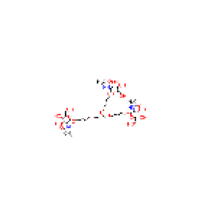 CC(=O)NC1C(O)[C@@H](O)C(CO)O[C@H]1OCCCCCOCC[C@@H](COCCCCCO[C@@H]1OC(CO)[C@H](O)C(O)C1NC(C)=O)OCCCCCO[C@@H]1OC(CO)[C@H](O)C(O)C1NC(C)=O